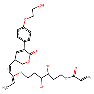 C=CC(=O)OCCC(O)C(O)CCOC(/C=C\C1C=C(c2ccc(OCCO)cc2)C(=O)OC1)=C/C